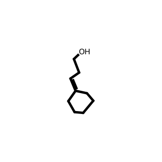 OCCC=C1CCCCC1